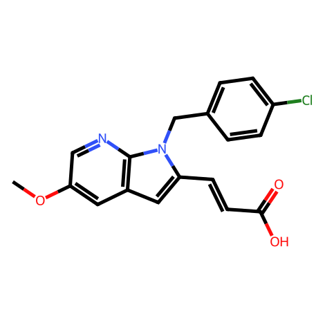 COc1cnc2c(c1)cc(C=CC(=O)O)n2Cc1ccc(Cl)cc1